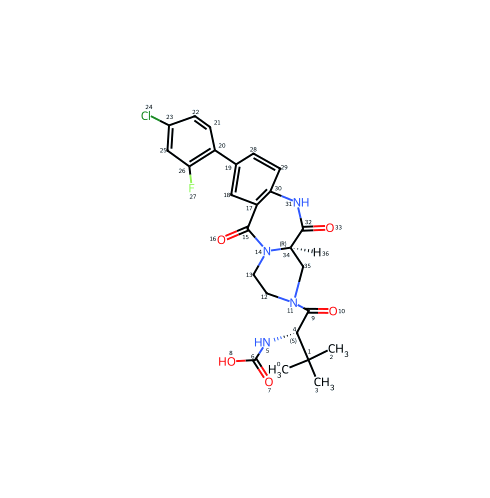 CC(C)(C)[C@H](NC(=O)O)C(=O)N1CCN2C(=O)c3cc(-c4ccc(Cl)cc4F)ccc3NC(=O)[C@H]2C1